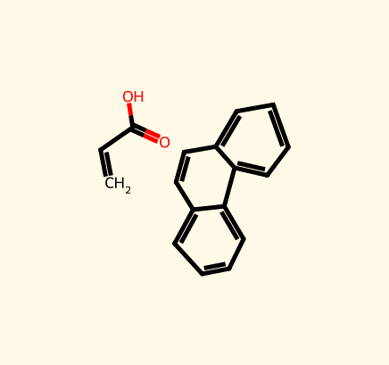 C=CC(=O)O.c1ccc2c(c1)ccc1ccccc12